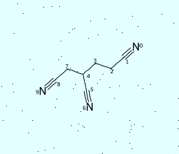 N#CCCC(C#N)CC#N